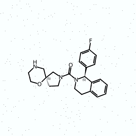 O=C(N1CC[C@]2(CNCCO2)C1)N1CCc2ccccc2[C@@H]1c1ccc(F)cc1